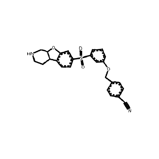 N#Cc1ccc(COc2cccc(S(=O)(=O)c3ccc4c(c3)OC3CNCCC43)c2)cc1